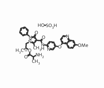 COc1ccc2c(Oc3ccc(NC(=O)c4c(C)n(C[C@H](C)OC(=O)C(C)N)n(-c5ccccc5)c4=O)nc3)ccnc2c1.O=S(=O)(O)O